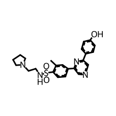 Cc1cc(-c2cncc(-c3ccc(O)cc3)n2)ccc1S(=O)(=O)NCCN1CCCC1